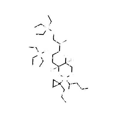 CCCC(I)[Si]1(C2(CCC)CC2)OC[C@H]2O[C@@H]([C@H](C)CO[Si](CC)(CC)CC)[C@@H](O[Si](CC)(CC)CC)C[C@H]2O1